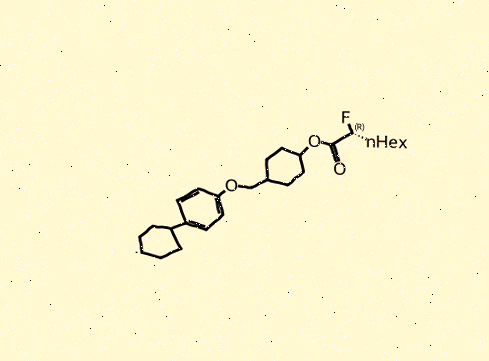 CCCCCC[C@@H](F)C(=O)OC1CCC(COc2ccc(C3CC[CH]CC3)cc2)CC1